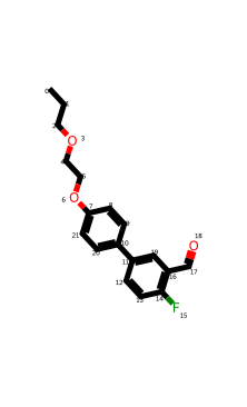 CCCOCCOc1ccc(-c2ccc(F)c(C=O)c2)cc1